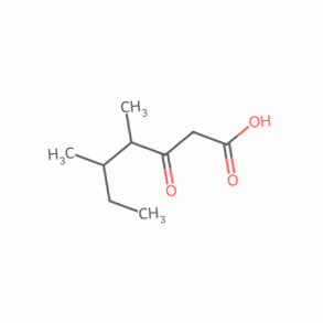 CCC(C)C(C)C(=O)CC(=O)O